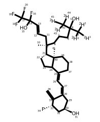 [2H]C([2H])([2H])C(O)(CCC[C@](C)(C/C=C/C(O)(F)C(F)(F)F)[C@H]1CCC2/C(=C/C=C3/C[C@@H](O)C[C@H](F)C3=C)CCC[C@@]21C)C([2H])([2H])[2H]